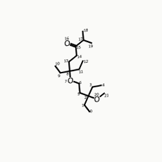 CCC(CC)(CCOC(CC)(CC)CCC(=O)C(C)C)OC